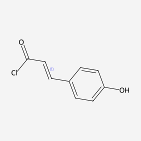 O=C(Cl)/C=C/c1ccc(O)cc1